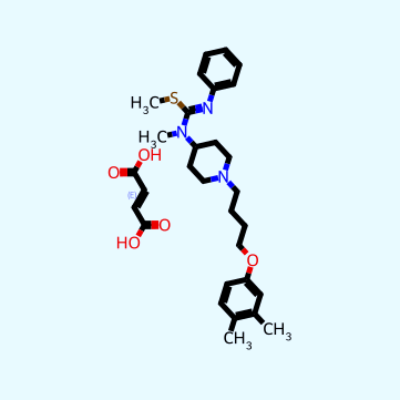 CSC(=Nc1ccccc1)N(C)C1CCN(CCCCOc2ccc(C)c(C)c2)CC1.O=C(O)/C=C/C(=O)O